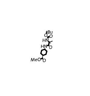 COC(=O)[C@H]1CC[C@H](NC(=O)[C@H](C)NC(=O)OC(C)(C)C)CC1